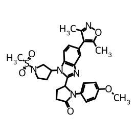 COc1ccc(N2C(=O)CCC2c2nc3cc(-c4c(C)noc4C)ccc3n2C2CCN(S(C)(=O)=O)C2)cc1